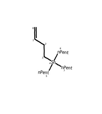 C=CC[CH2][Sn]([CH2]CCCC)([CH2]CCCC)[CH2]CCCC